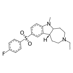 CCN1CCC2[C@H](CC1)c1cc(S(=O)(=O)c3ccc(F)cc3)ccc1N2C